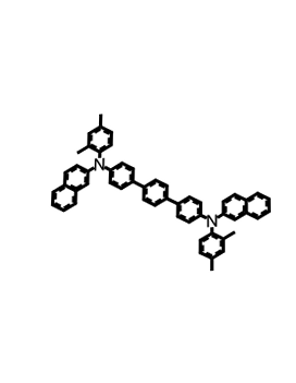 Cc1ccc(N(c2ccc(-c3ccc(-c4ccc(N(c5ccc6ccccc6c5)c5ccc(C)cc5C)cc4)cc3)cc2)c2ccc3ccccc3c2)c(C)c1